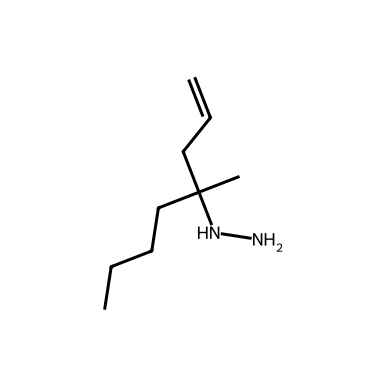 C=CCC(C)(CCCC)NN